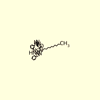 CCCCCCCCCCCCN(C(=O)Sc1nnnn1-c1ccccc1)c1nn(Cc2ccccc2)c2[nH]ncc12